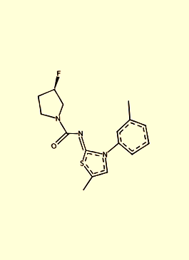 Cc1cccc(-n2cc(C)sc2=NC(=O)N2CC[C@@H](F)C2)c1